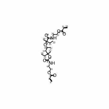 C=CC(=O)OCCNC(=O)OC(C)(CC)CC(C)OC(C)(CC)C(=O)NCCOC(=O)C=C